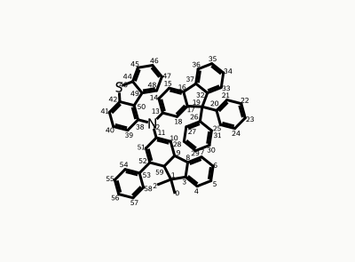 CC1(C)c2ccccc2C2C=C(N(c3ccc4c(c3)C(c3ccccc3)(c3ccccc3)c3ccccc3-4)c3cccc4sc5ccccc5c34)C=C(c3ccccc3)C21